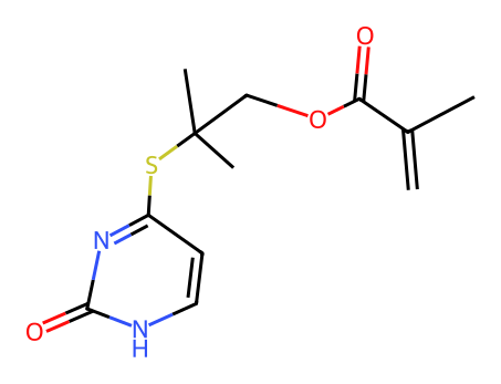 C=C(C)C(=O)OCC(C)(C)Sc1cc[nH]c(=O)n1